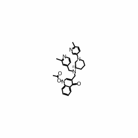 CC(=O)On1cc(CN(Cc2ccnc(C)c2)[C@H]2CCCN(c3ccc(C)nc3)C2)c(=O)c2ccccc21